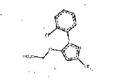 O=C(O)COc1cc(C(F)(F)F)nn1-c1ccccc1Cl